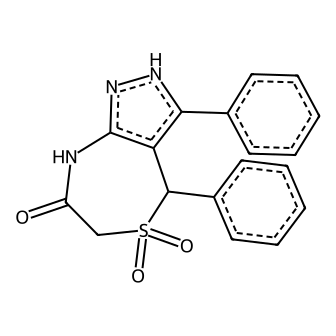 O=C1CS(=O)(=O)C(c2ccccc2)c2c(n[nH]c2-c2ccccc2)N1